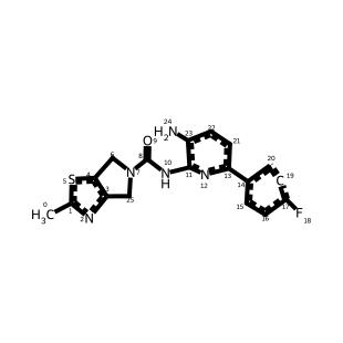 Cc1nc2c(s1)CN(C(=O)Nc1nc(-c3ccc(F)cc3)ccc1N)C2